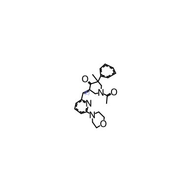 CC(=O)N1C/C(=C\c2cccc(N3CCOCC3)n2)C(=O)C(C)(c2ccccc2)C1